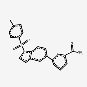 Cc1ccc(S(=O)(=O)n2ccc3cc(-c4cccc(C(N)=O)n4)ccc32)cc1